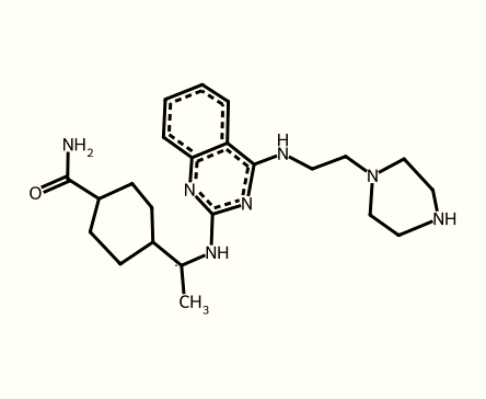 C[C](Nc1nc(NCCN2CCNCC2)c2ccccc2n1)C1CCC(C(N)=O)CC1